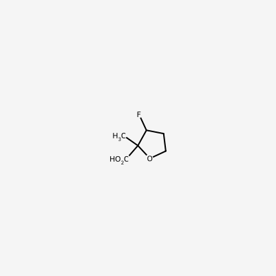 CC1(C(=O)O)OCCC1F